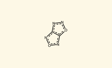 n1nc2nonc2o1